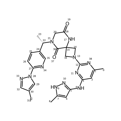 Cc1cc(Nc2cc(C)[nH]n2)nc(N2CC3(C2)NC(=O)CN([C@@H](C)c2ccc(-n4cc(F)cn4)nc2)C3=O)n1